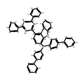 c1ccc(-c2ccc(N(c3ccc(-c4ccccc4)cc3)c3ccc(-c4nc(-c5ccccc5)nc(-c5ccccc5)n4)c4c3oc3ccccc34)cc2)cc1